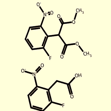 COC(=O)C(C(=O)OC)c1c(F)cccc1[N+](=O)[O-].O=C(O)Cc1c(F)cccc1[N+](=O)[O-]